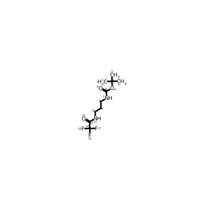 CC(C)(C)OC(=O)NCCCNC(=O)C(F)(F)F